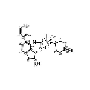 CCN1CCC(S(=O)(=O)NC(=O)Nc2c(-c3ccncc3)ccc3c2CCC3)CC1.[KH]